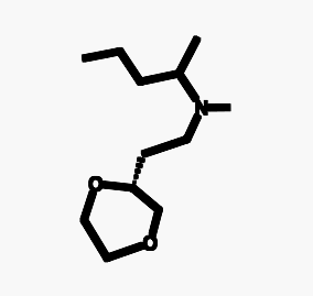 CCCC(C)N(C)CC[C@@H]1COCCO1